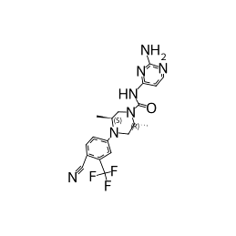 C[C@@H]1CN(c2ccc(C#N)c(C(F)(F)F)c2)[C@@H](C)CN1C(=O)Nc1ccnc(N)n1